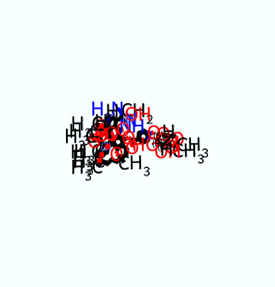 C=C(N)C(/C(N)=N\O)C1C2C(=O)c3c(OC(=O)c4ccc(O[C@@H]5O[C@@H]6COC(C)(C)O[C@H]6[C@H](O)[C@H]5O)cc4)c4c(c(CC=C(C)C)c3OC23[C@@H]2C[C@@H]1C(=O)C3(C/C=C(/C)C(=O)OC)OC2(C)C)OC(C)(CCC=C(C)C)C=C4